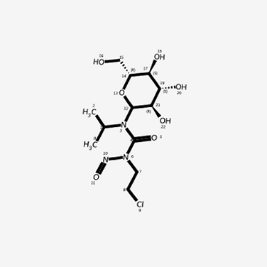 CC(C)N(C(=O)N(CCCl)N=O)C1O[C@H](CO)[C@@H](O)[C@H](O)[C@H]1O